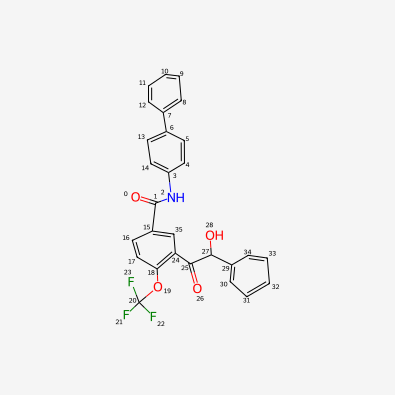 O=C(Nc1ccc(-c2ccccc2)cc1)c1ccc(OC(F)(F)F)c(C(=O)C(O)c2ccccc2)c1